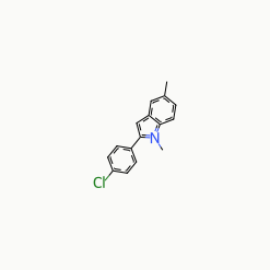 Cc1ccc2c(c1)cc(-c1ccc(Cl)cc1)n2C